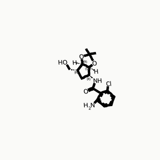 CC1(C)O[C@@H]2[C@@H](CO)C[C@@H](NC(=O)c3c(N)cccc3Cl)[C@@H]2O1